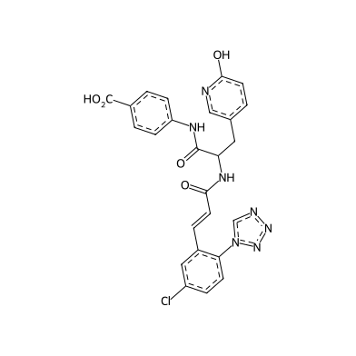 O=C(C=Cc1cc(Cl)ccc1-n1cnnn1)NC(Cc1ccc(O)nc1)C(=O)Nc1ccc(C(=O)O)cc1